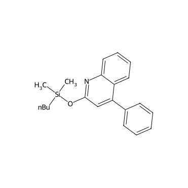 CCCC[Si](C)(C)Oc1cc(-c2ccccc2)c2ccccc2n1